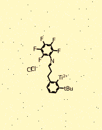 CC(C)(C)c1cccc(CCC=Nc2c(F)c(F)c(F)c(F)c2F)[c]1[Ti+2].[Cl-].[Cl-]